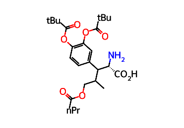 CCCC(=O)OCC(C)C(c1ccc(OC(=O)C(C)(C)C)c(OC(=O)C(C)(C)C)c1)[C@H](N)C(=O)O